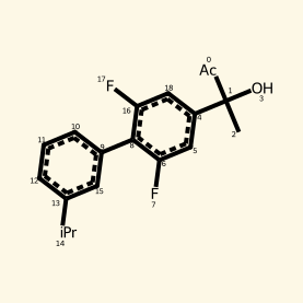 CC(=O)C(C)(O)c1cc(F)c(-c2cccc(C(C)C)c2)c(F)c1